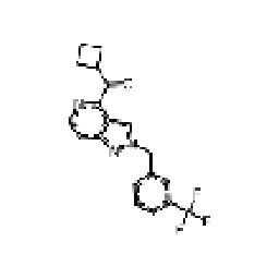 O=C(c1nccc2nn(Cc3cccc(C(F)(F)F)c3)cc12)C1CCC1